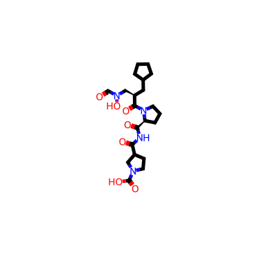 O=CN(O)C[C@@H](CC1CCCC1)C(=O)N1CCC[C@H]1C(=O)NC(=O)C1CCN(C(=O)O)C1